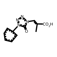 CC(=Cn1nnn(-c2ccccc2)c1=O)C(=O)O